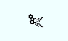 CCC[Si](C)(C)OCc1cccc2c1C(CO[Si](C)(C)CCC)c1ccccc1-2